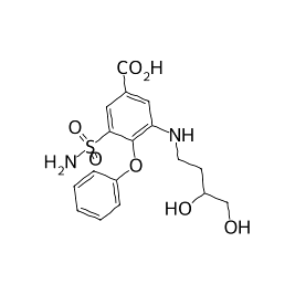 NS(=O)(=O)c1cc(C(=O)O)cc(NCCC(O)CO)c1Oc1ccccc1